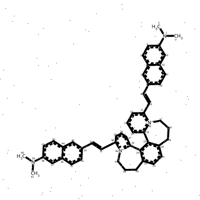 CN(C)c1ccc2cc(/C=C/c3cccc4[n+]3CCCc3ccc5c(c3-4)-c3cccc(/C=C/c4ccc6cc(N(C)C)ccc6c4)[n+]3CCC5)ccc2c1